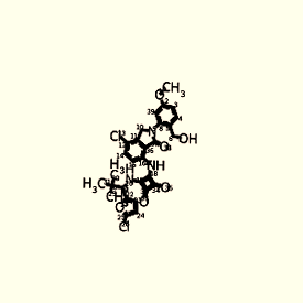 COc1ccc(CO)c(N2Cc3c(Cl)ccc(Nc4c(N[C@@H](c5ccc(Cl)o5)C(C)(C)C)c(=O)c4=O)c3C2=O)c1